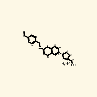 CCc1ccc(CO[C@@H]2CCc3cc([C@H]4CC[C@@](N)(CO)C4)ccc3C2)cc1